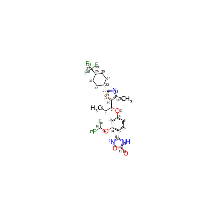 CCC(Oc1ccc(-c2noc(=O)[nH]2)c(OC(F)F)c1)c1sc([C@H]2CC[C@H](C(F)(F)F)CC2)nc1C